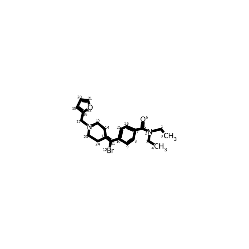 CCN(CC)C(=O)c1ccc(C(Br)=C2CCN(Cc3ccco3)CC2)cc1